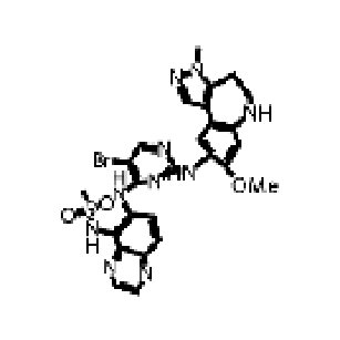 COc1cc2c(cc1Nc1ncc(Br)c(Nc3ccc4nccnc4c3NS(C)(=O)=O)n1)-c1cnn(C)c1CCN2